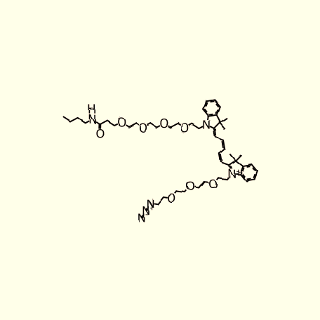 CCCCNC(=O)CCOCCOCCOCCOCCN1/C(=C/C=C\C=C/C2=[N+](CCOCCOCCOCCN=[N+]=[N-])c3ccccc3C2(C)C)C(C)(C)c2ccccc21